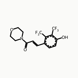 O=C(C=Cc1ccc(O)c(C(F)(F)F)c1C(F)(F)F)N1CCOCC1